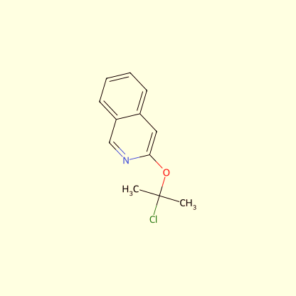 CC(C)(Cl)Oc1cc2ccccc2cn1